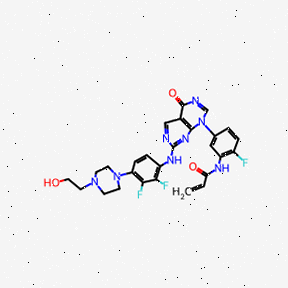 C=CC(=O)Nc1cc(-n2cnc(=O)c3cnc(Nc4ccc(N5CCN(CCO)CC5)c(F)c4F)nc32)ccc1F